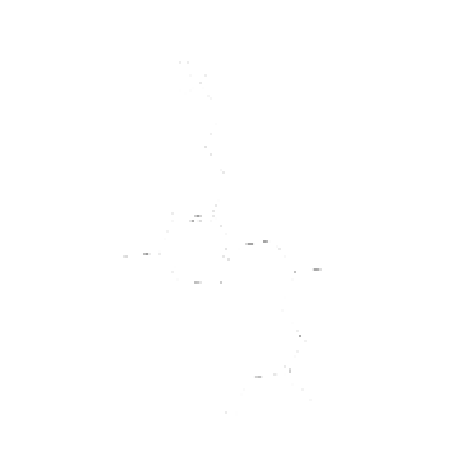 CC(CNC(=O)OC(C)(C)C)Cc1ncc(Cl)cc1CCOS(C)(=O)=O